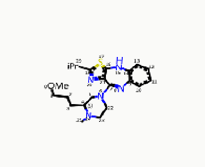 COCCC[C@H]1CN(C2=Nc3ccccc3Nc3sc(C(C)C)nc32)CCN1C